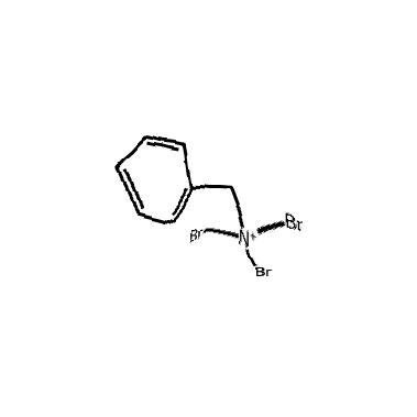 Br[N+](Br)(Br)Cc1ccccc1